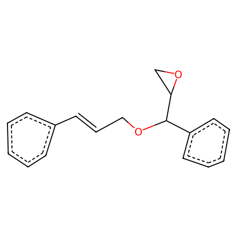 C(=Cc1ccccc1)COC(c1ccccc1)C1CO1